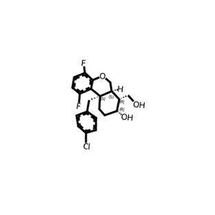 OC[C@@H]1[C@H](O)CC[C@@]2(Cc3ccc(Cl)cc3)c3c(F)ccc(F)c3OC[C@@H]12